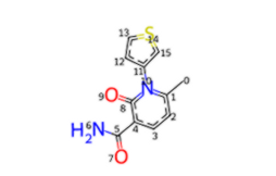 Cc1ccc(C(N)=O)c(=O)n1-c1ccsc1